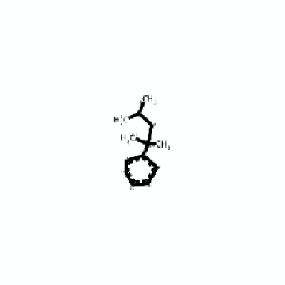 CC(C)CC(C)(C)c1cc[c]cc1